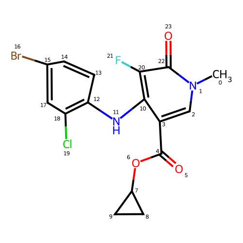 Cn1cc(C(=O)OC2CC2)c(Nc2ccc(Br)cc2Cl)c(F)c1=O